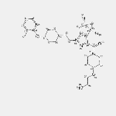 Cc1cccnc1O[C@H]1CC[C@@H](CCn2nc(C(=O)N3CCC(OCCO)CC3)c3c2C[C@H]2C[C@@H]32)CC1